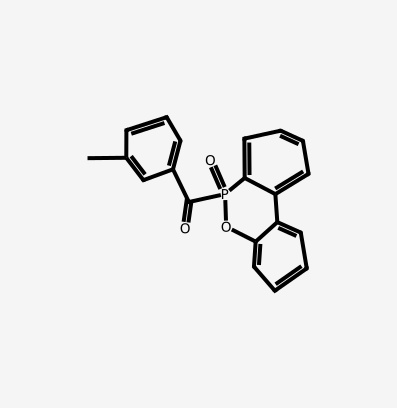 Cc1cccc(C(=O)P2(=O)Oc3ccccc3-c3ccccc32)c1